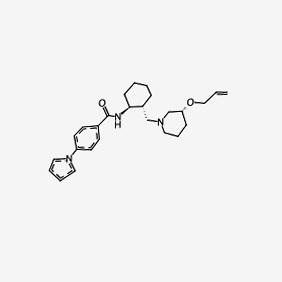 C=CCO[C@@H]1CCCN(C[C@H]2CCCC[C@@H]2NC(=O)c2ccc(-n3cccc3)cc2)C1